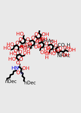 CCCCCCCCCCCCC/C=C/[C@@H](O)[C@H](CO[C@@H]1OC(CO)[C@@H](O[C@@H]2OC(CO)[C@H](O)[C@H](O[C@@H]3OC(CO)[C@@H](O[C@@H]4OC(CO)[C@H](O)[C@H](O[C@H]5OC(CO)[C@H](O)[C@H](O[C@@H]6OC(CO)[C@H](O)[C@H](O[C@]7(C(=O)O)CC(O)[C@@H](NC(C)=O)C([C@H](O)[C@H](O)CO)O7)C6O)C5NC(C)=O)C4O[C@H]4OC(C)[C@@H](O)C(O)[C@@H]4O)[C@H](O)C3NC(C)=O)C2O)[C@H](O)C1O)NC(=O)CCCCCCCCCCCCCCC